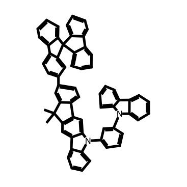 CC1(C)c2cc(-c3ccc4c(c3)C3(c5ccccc5-c5ccccc53)c3ccccc3-4)ccc2-c2cc3c(cc21)c1ccccc1n3-c1cccc(-n2c3ccccc3c3ccccc32)c1